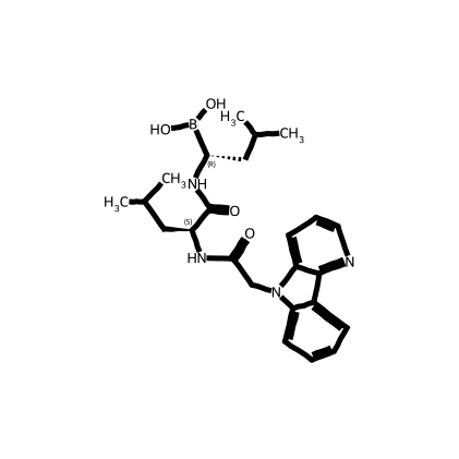 CC(C)C[C@H](NC(=O)[C@H](CC(C)C)NC(=O)Cn1c2ccccc2c2ncccc21)B(O)O